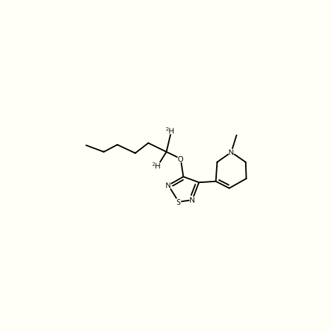 [2H]C([2H])(CCCCC)Oc1nsnc1C1=CCCN(C)C1